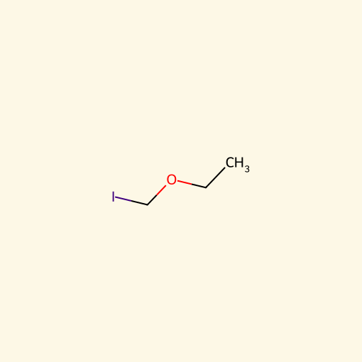 CCOCI